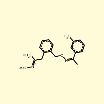 CO/N=C(/Cc1ccccc1CON=C(C)c1cccc(C(F)(F)F)c1)C(=O)O